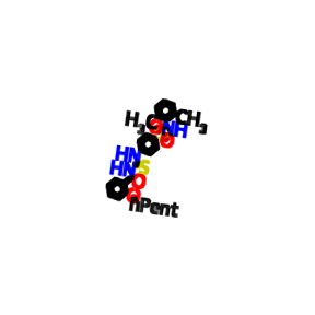 CCCCCOc1ccccc1C(=O)NC(=S)Nc1ccc(S(=O)(=O)Nc2c(C)cccc2C)cc1